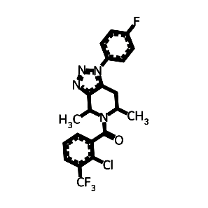 CC1Cc2c(nnn2-c2ccc(F)cc2)C(C)N1C(=O)c1cccc(C(F)(F)F)c1Cl